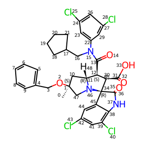 C[C@]1(OCc2ccccc2)C[C@@H]2[C@@H](C(=O)N(CC3CCCC3)c3cc(Cl)cc(Cl)c3)[C@@H](C(=O)O)[C@@]3(C(=O)Nc4c(Cl)cc(Cl)cc43)N2C1